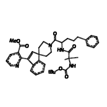 COC(=O)c1cccnc1C1=CC2(CCN(C(=O)C(CCCc3ccccc3)NC(=O)C(C)(C)NC(=O)OC(C)(C)C)CC2)c2ccccc21